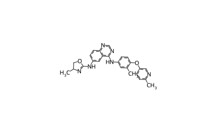 Cc1ccc(Oc2ccc(Nc3ncnc4ccc(NC5=NC(C)CO5)cc34)cc2C)cn1